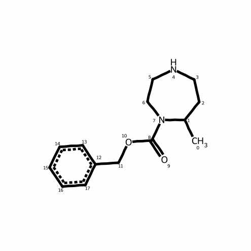 CC1CCNCCN1C(=O)OCc1ccccc1